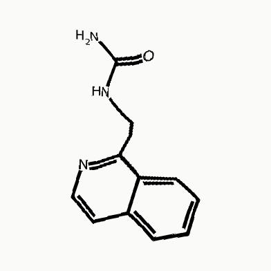 NC(=O)NCc1nccc2ccccc12